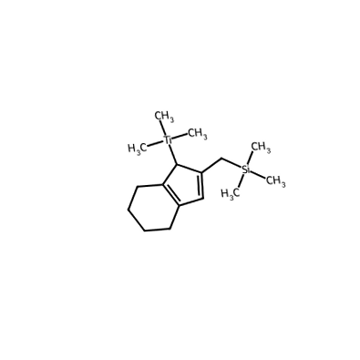 C[Si](C)(C)CC1=CC2=C(CCCC2)[CH]1[Ti]([CH3])([CH3])[CH3]